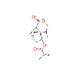 C=C(C)C(=O)OC12CC3CC4C(=O)OCC(C1)C42C3